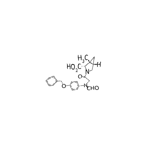 C[C@@]12C[C@@H]1CN(C(=O)CN(C=O)c1ccc(OCc3ccccc3)cc1)[C@@H]2C(=O)O